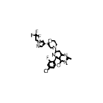 Cc1nc2cc(N3CCO[C@@H](c4cnn(CC(F)(F)F)c4)C3)nc(-c3ccc(Cl)cc3F)c2c(=O)n1C